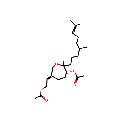 CC(=O)OC/C=C1\CC[C@@H](OC(C)=O)C(C)(CCCC(C)CCC=C(C)C)OC1